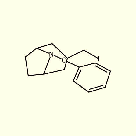 ICC1CC2CCC(C1)N2Cc1ccccc1